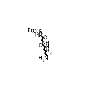 CCOC(=O)CNC(=O)CNC(=O)C(N)CCCCN